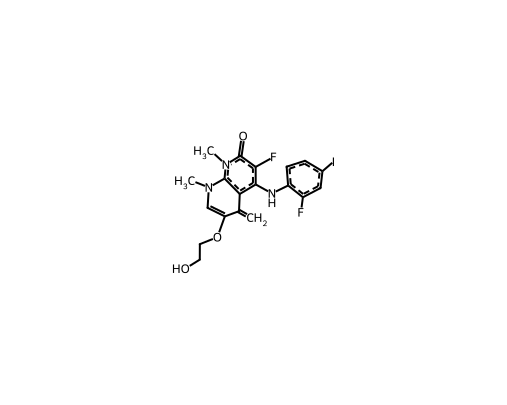 C=C1C(OCCO)=CN(C)c2c1c(Nc1ccc(I)cc1F)c(F)c(=O)n2C